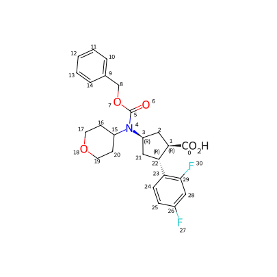 O=C(O)[C@@H]1C[C@H](N(C(=O)OCc2ccccc2)C2CCOCC2)C[C@H]1c1ccc(F)cc1F